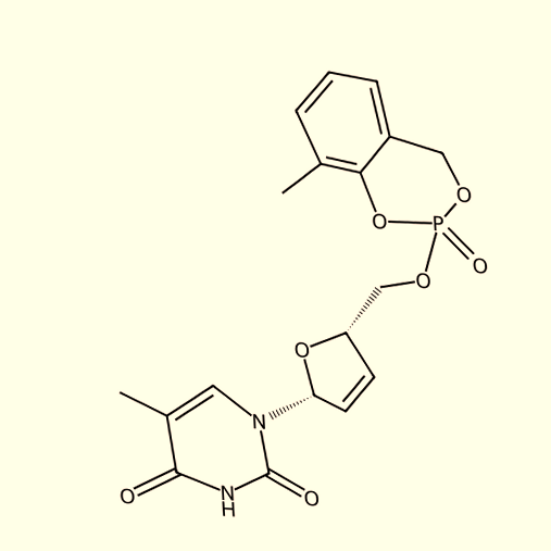 Cc1cccc2c1OP(=O)(OC[C@@H]1C=C[C@H](n3cc(C)c(=O)[nH]c3=O)O1)OC2